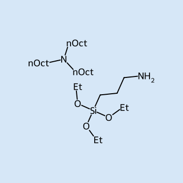 CCCCCCCCN(CCCCCCCC)CCCCCCCC.CCO[Si](CCCN)(OCC)OCC